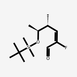 C[C@H](/C=C(/F)C=O)[C@H](C)O[Si](C)(C)C(C)(C)C